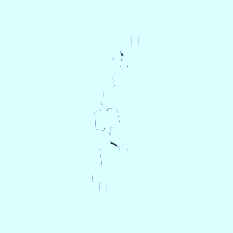 C/C=N/OCCN1CCN(C(=O)CCOC)CC1